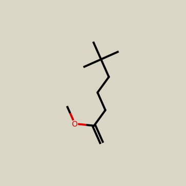 C=C(CCCC(C)(C)C)OC